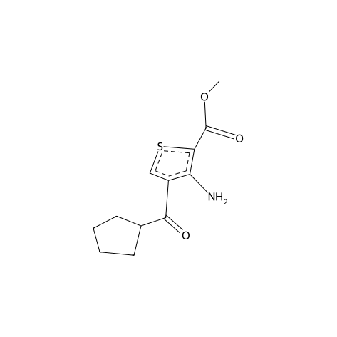 COC(=O)c1scc(C(=O)C2CCCC2)c1N